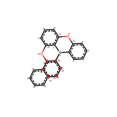 c1ccc([Si]23c4ccccc4Oc4cccc(c42)Oc2c3ccc3ccccc23)cc1